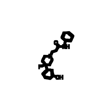 O=C(CCN1CCC(F)(c2cccc(O)c2)CC1)Nc1ccccc1